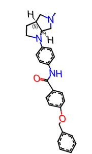 CN1C[C@@H]2CCN(c3ccc(NC(=O)c4ccc(OCc5ccccc5)cc4)cc3)[C@@H]2C1